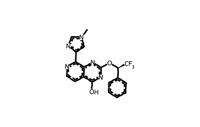 Cn1cnc(-c2nccc3c(O)nc(O[C@H](c4ccccc4)C(F)(F)F)nc23)c1